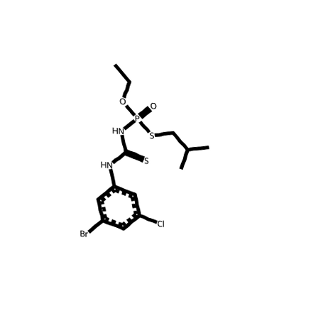 CCOP(=O)(NC(=S)Nc1cc(Cl)cc(Br)c1)SCC(C)C